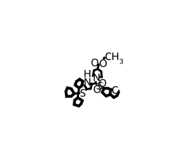 CCOC(=O)C1CCN(C(C2CC(SC(c3ccccc3)(c3ccccc3)c3ccccc3)CN2)S(=O)(=O)c2ccc3ccccc3c2)CC1